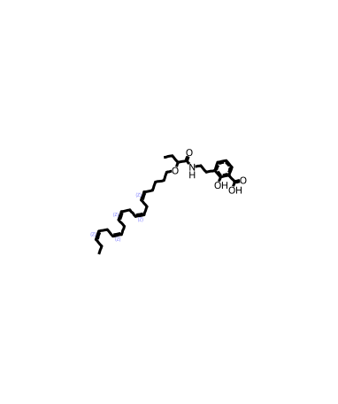 CC/C=C\C/C=C\C/C=C\C/C=C\C/C=C\CCCCOC(CC)C(=O)NCCc1cccc(C(=O)O)c1O